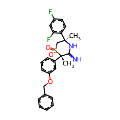 C[C@@]1(c2ccc(F)cc2F)CS(=O)(=O)[C@@](C)(c2cccc(OCc3ccccc3)c2)C(=N)N1